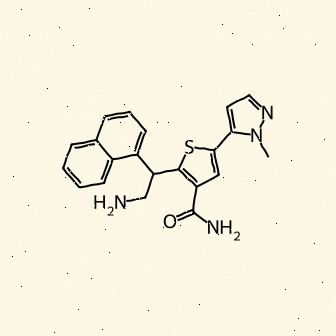 Cn1nccc1-c1cc(C(N)=O)c(C(CN)c2cccc3ccccc23)s1